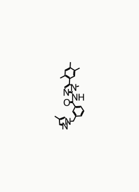 Cc1cnn(Cc2cccc(C(=O)Nc3ncc(-c4cc(C)c(C)cc4C)n3C)c2)c1